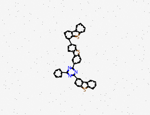 c1ccc(-c2nc(-c3ccc4sc5ccccc5c4c3)nc(-c3ccc4sc5cc(-c6cccc7c6sc6ccccc67)ccc5c4c3)n2)cc1